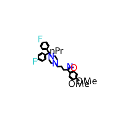 CCCC(c1ccc(F)cc1)(c1ccc(F)cc1)N1CCN(CCCc2noc3cc(OC)c(OC)cc23)CC1